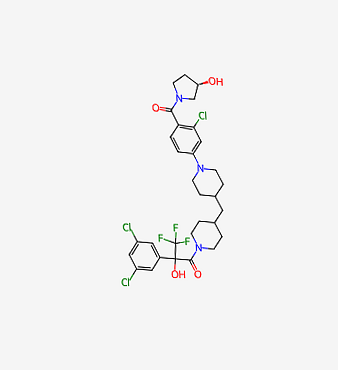 O=C(c1ccc(N2CCC(CC3CCN(C(=O)C(O)(c4cc(Cl)cc(Cl)c4)C(F)(F)F)CC3)CC2)cc1Cl)N1CC[C@@H](O)C1